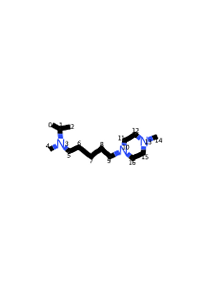 CC(C)N(C)CCCCCN1CCN(C)CC1